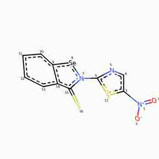 O=[N+]([O-])c1cnc(-n2[se]c3ccccc3c2=S)s1